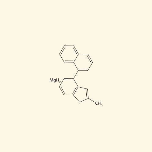 CC1=Cc2c(cccc2-c2cccc3ccccc23)[CH]1.[MgH2]